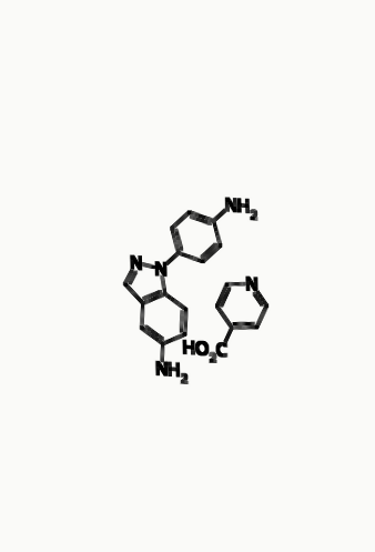 Nc1ccc(-n2ncc3cc(N)ccc32)cc1.O=C(O)c1ccncc1